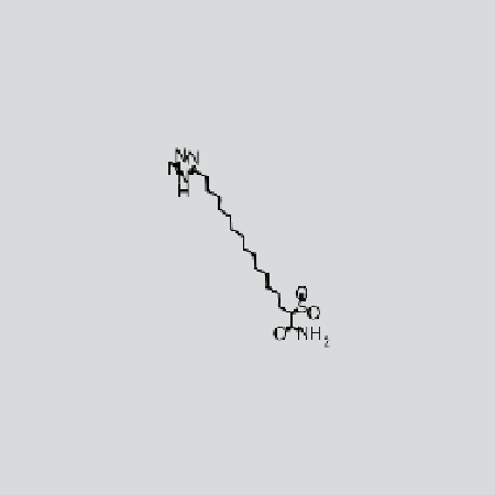 NC(=O)C(CCCCCCCCCCCCCCc1nnn[nH]1)=S(=O)=O